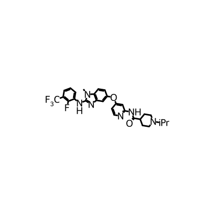 CC(C)N1CCC(C(=O)Nc2cc(Oc3ccc4c(c3)nc(Nc3cccc(C(F)(F)F)c3F)n4C)ccn2)CC1